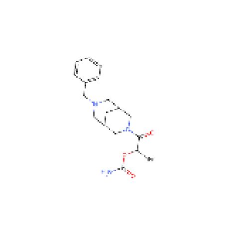 CC(C)C(OC(N)=O)C(=O)N1CC2CC(CN(Cc3ccccc3)C2)C1